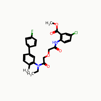 CCN(C(=O)COCC(=O)Nc1ccc(Cl)cc1C(=O)OC)c1cc(-c2ccc(F)cc2)ccc1C